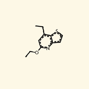 CCOc1cc(CC)c2sccc2n1